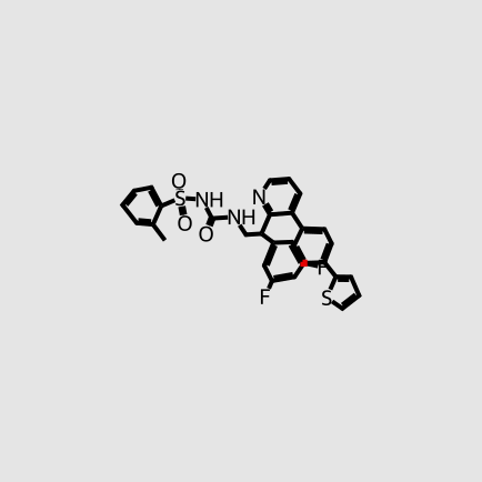 Cc1ccccc1S(=O)(=O)NC(=O)NCC(c1cc(F)cc(F)c1)c1ncccc1-c1ccc(-c2cccs2)cc1